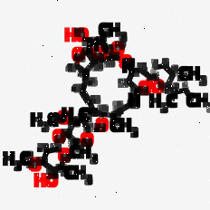 CC[C@H](C)[C@H]1O[C@]2(CC[C@@H]1C)C[C@@H]1C[C@@H](C/C=C(\C)C(O[C@H]3C[C@H](OC)C(O[C@H]4C[C@H](OC)[C@@H](O)[C@H](C)O4)[C@H](C)O3)[C@@H](C)/C=C/C=C3\CO[C@@H]4[C@H](O)C(C)=CC(C(=O)O1)[C@]34O)O2